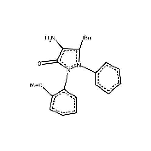 COc1ccccc1-n1c(=O)c(N)c(C(C)(C)C)n1-c1ccccc1